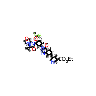 CCOC(=O)c1cncc(-c2ccc3c(=O)n(-c4ccc(OC(F)F)c(NC(=O)C5(N6CCOCC6)CC5)c4)cnc3c2)c1